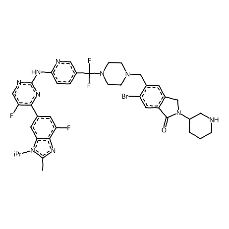 Cc1nc2c(F)cc(-c3nc(Nc4ccc(C(F)(F)N5CCN(Cc6cc7c(cc6Br)C(=O)N(C6CCCNC6)C7)CC5)cn4)ncc3F)cc2n1C(C)C